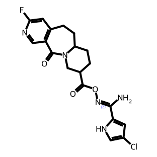 N/C(=N\OC(=O)C1CCC2CCc3cc(F)ncc3C(=O)N2C1)c1cc(Cl)c[nH]1